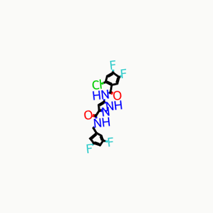 O=C(NCc1cc(F)cc(F)c1)c1cc(NC(=O)c2cc(F)c(F)cc2Cl)[nH]n1